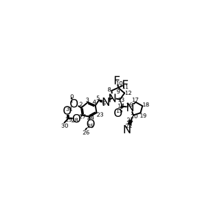 COc1cc(/C=N/N2CC(F)(F)C[C@H]2C(=O)N2CCC[C@H]2C#N)cc(OC)c1OC(C)=O